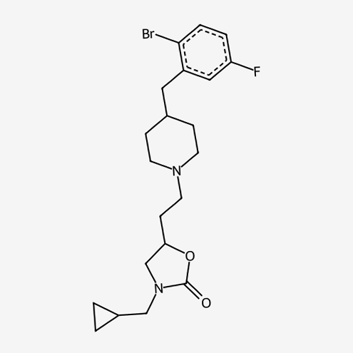 O=C1OC(CCN2CCC(Cc3cc(F)ccc3Br)CC2)CN1CC1CC1